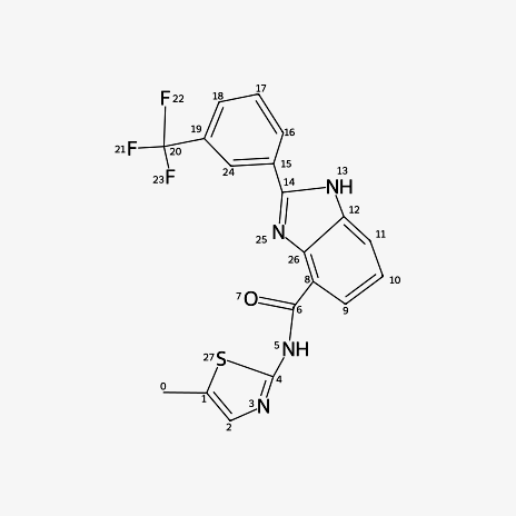 Cc1cnc(NC(=O)c2cccc3[nH]c(-c4cccc(C(F)(F)F)c4)nc23)s1